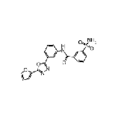 NS(=O)(=O)c1cccc(C(=O)Nc2cccc(-c3nnc(-c4ccco4)o3)c2)c1